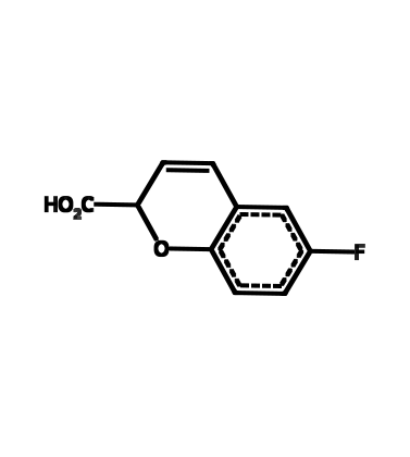 O=C(O)C1C=Cc2cc(F)ccc2O1